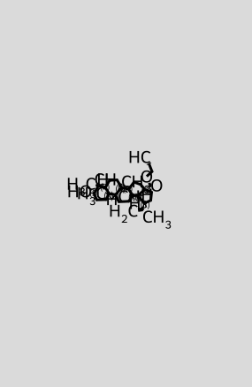 C#CCOC(=O)[C@]12CC[C@@H](C(=C)C)[C@@H]1[C@H]1CC[C@@H]3[C@@]4(C)CC[C@H](O)C(C)(C)[C@@H]4CC[C@@]3(C)[C@]1(C)CC2